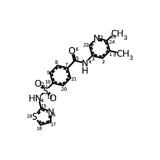 Cc1cc(NC(=O)c2ccc(S(=O)(=O)Nc3nccs3)cc2)cnc1C